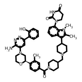 Cc1cc(C(=O)N2CCC(CN3CCC(c4c(C)n(C)c5c(N6CCC(=O)NC6=O)cccc45)CC3)CC2)ccc1[C@@H]1CN(c2cc(-c3ccccc3O)nnc2N)CCO1